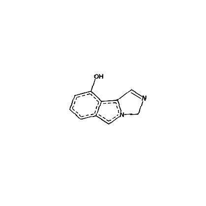 Oc1cccc2cn3c(c12)C=NC3